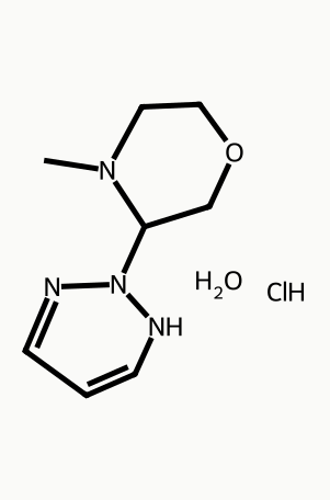 CN1CCOCC1N1N=CC=CN1.Cl.O